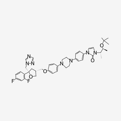 C[C@H](OC(C)(C)C)[C@H](C)n1ccn(-c2ccc(N3CCN(c4ccc(OC[C@@H]5CO[C@@](Cn6cncn6)(c6ccc(F)cc6F)C5)cc4)CC3)cc2)c1=O